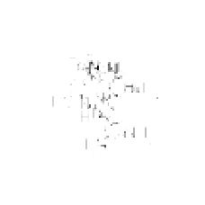 Cc1ccc(S(=O)(=O)N(C)C)cc1Nc1nc(N2C[C@H](N)C[C@H](N)C2)nc(N2C[C@H](N)C[C@H](N)C2)n1